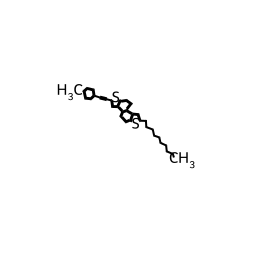 CCCCCCCCCCc1cc2c(ccc3c4cc(C#Cc5ccc(C)cc5)sc4ccc23)s1